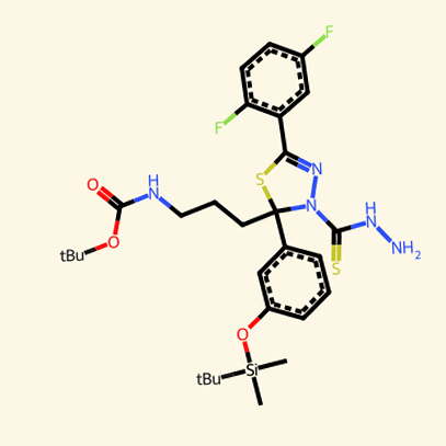 CC(C)(C)OC(=O)NCCCC1(c2cccc(O[Si](C)(C)C(C)(C)C)c2)SC(c2cc(F)ccc2F)=NN1C(=S)NN